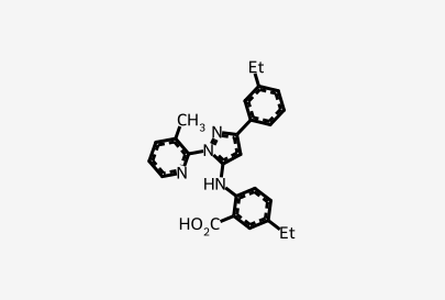 CCc1cccc(-c2cc(Nc3ccc(CC)cc3C(=O)O)n(-c3ncccc3C)n2)c1